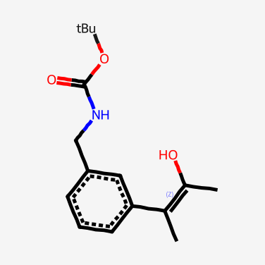 C/C(O)=C(\C)c1cccc(CNC(=O)OC(C)(C)C)c1